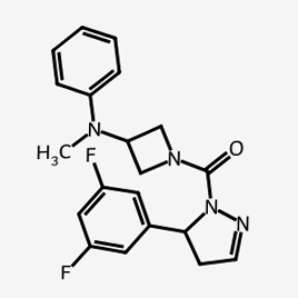 CN(c1ccccc1)C1CN(C(=O)N2N=CCC2c2cc(F)cc(F)c2)C1